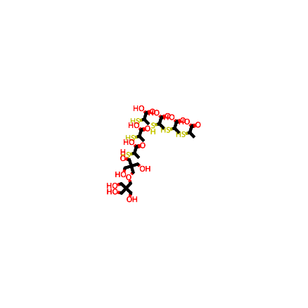 CC(S)C(=O)O.CC(S)C(=O)O.CC(S)C(=O)O.CC(S)C(=O)O.CC(S)C(=O)O.CC(S)C(=O)O.OCC(CO)(CO)COCC(CO)(CO)CO